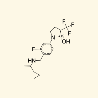 C=C(NCc1ccc(N2CCC(C(F)(F)F)[C@@H]2O)cc1F)C1CC1